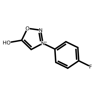 Oc1c[n+](-c2ccc(F)cc2)no1